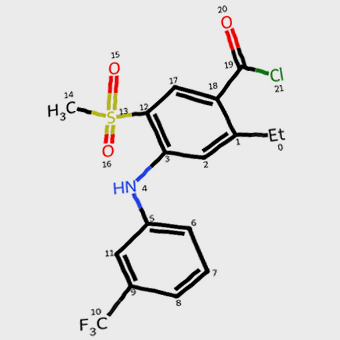 CCc1cc(Nc2cccc(C(F)(F)F)c2)c(S(C)(=O)=O)cc1C(=O)Cl